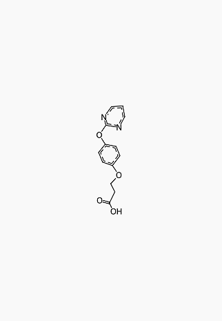 O=C(O)CCOc1ccc(Oc2ncccn2)cc1